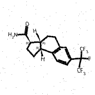 NC(=O)[C@@H]1CC[C@H]2c3ccc(C(F)(C(F)(F)F)C(F)(F)F)cc3CC[C@@H]12